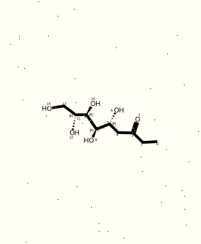 CCC(=O)C[C@@H](O)[C@@H](O)[C@H](O)[C@H](O)CO